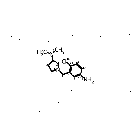 CN(C)C1CCN(Cc2cc(N)ccc2Cl)C1